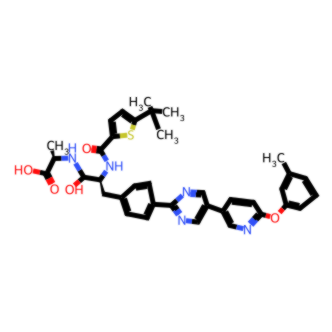 Cc1cccc(Oc2ccc(-c3cnc(-c4ccc(C[C@H](NC(=O)c5ccc(C(C)(C)C)s5)C(O)N[C@H](C)C(=O)O)cc4)nc3)cn2)c1